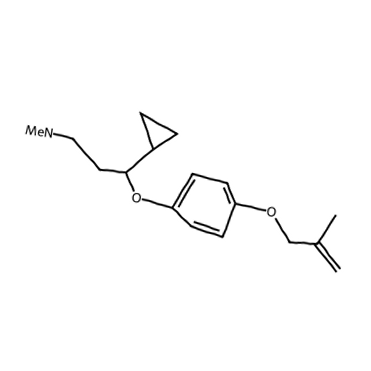 C=C(C)COc1ccc(OC(CCNC)C2CC2)cc1